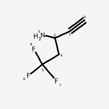 C#CC(N)CC(F)(F)F